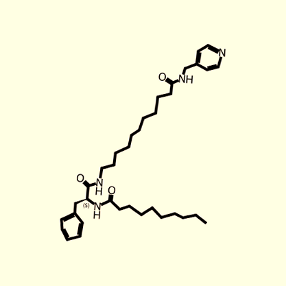 CCCCCCCCCC(=O)N[C@@H](Cc1ccccc1)C(=O)NCCCCCCCCCCC(=O)NCc1ccncc1